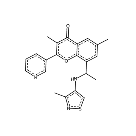 Cc1cc(C(C)Nc2csnc2C)c2oc(-c3cccnc3)c(C)c(=O)c2c1